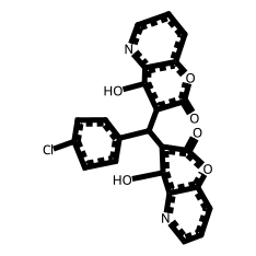 O=c1oc2cccnc2c(O)c1C(c1ccc(Cl)cc1)c1c(O)c2ncccc2oc1=O